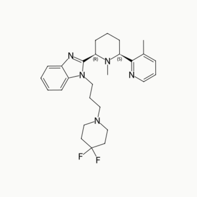 Cc1cccnc1[C@@H]1CCC[C@H](c2nc3ccccc3n2CCCN2CCC(F)(F)CC2)N1C